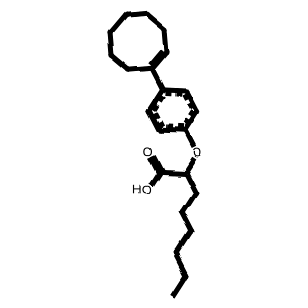 CCCCCCC(Oc1ccc(C2=CCCCCCC2)cc1)C(=O)O